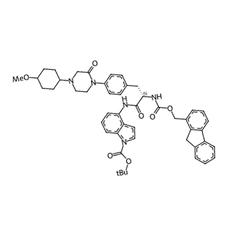 COC1CCC(N2CCN(c3ccc(C[C@H](NC(=O)OCc4cccc5c4Cc4ccccc4-5)C(=O)Nc4cccc5c4ccn5C(=O)OC(C)(C)C)cc3)C(=O)C2)CC1